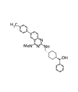 CNc1nc(NC[C@H]2CC[C@H](C(O)c3ccccc3)CC2)nc2ccc(-c3ccc(C)cc3)cc12